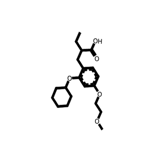 CCC(Cc1ccc(OCCOC)cc1OC1CCCCC1)C(=O)O